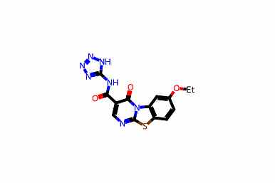 CCOc1ccc2sc3ncc(C(=O)Nc4nnn[nH]4)c(=O)n3c2c1